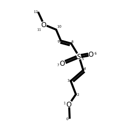 COCC=CS(=O)(=O)C=CCOC